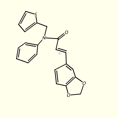 O=C(/C=C/c1ccc2c(c1)OCO2)N(Cc1cccs1)c1ccccc1